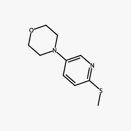 CSc1ccc(N2CCOCC2)cn1